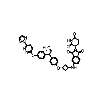 C=CC(c1ccc(Oc2ccc(-n3nccn3)nn2)cc1)c1ccc(O[C@H]2C[C@H](Nc3ccc4c(c3)C(=O)N(C3CCC(=O)NC3=O)C4=O)C2)cc1